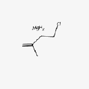 C=C(C)CCCl.[MgH2]